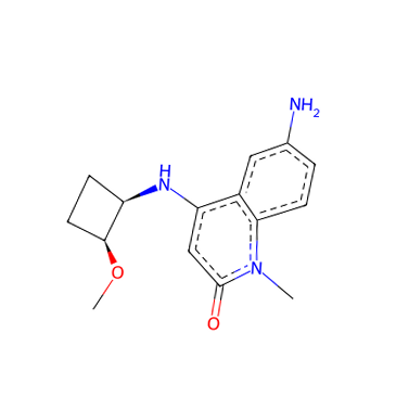 CO[C@H]1CC[C@H]1Nc1cc(=O)n(C)c2ccc(N)cc12